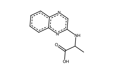 CC(Nc1cnc2ccccc2n1)C(=O)O